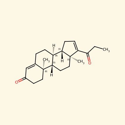 CCC(=O)C1=CC[C@H]2[C@@H]3CCC4=CC(=O)CC[C@]4(C)[C@H]3CC[C@]12C